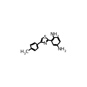 Cc1ccc(-c2csc(-c3cc(N)ccc3N)n2)cc1